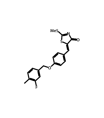 CSC1=NC(=O)/C(=C/c2ccc(OCc3ccc(C)c(F)c3)cc2)S1